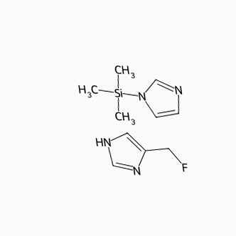 C[Si](C)(C)n1ccnc1.FCc1c[nH]cn1